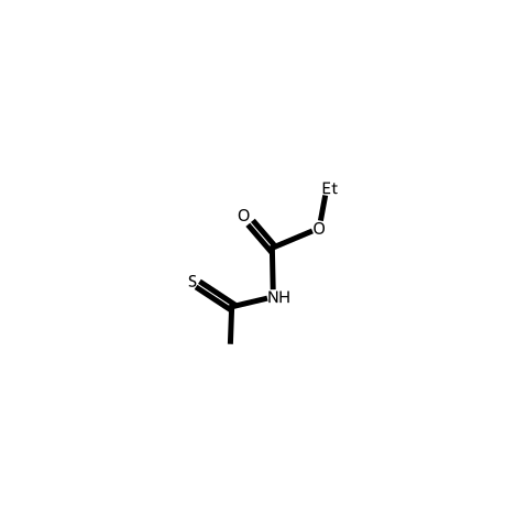 CCOC(=O)NC(C)=S